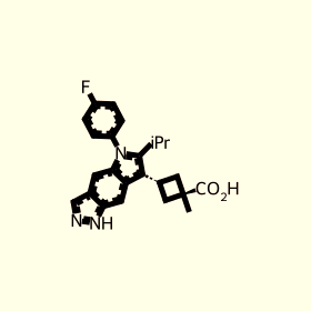 CC(C)c1c([C@H]2C[C@](C)(C(=O)O)C2)c2cc3[nH]ncc3cc2n1-c1ccc(F)cc1